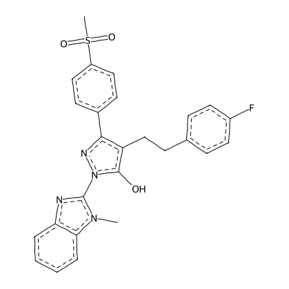 Cn1c(-n2nc(-c3ccc(S(C)(=O)=O)cc3)c(CCc3ccc(F)cc3)c2O)nc2ccccc21